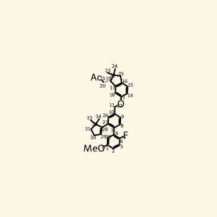 COc1ccc(F)c(-c2ccc(COc3ccc4c(c3)[C@H](CC(C)=O)C(C)(C)C4)cc2C2=CCCC2(C)C)c1